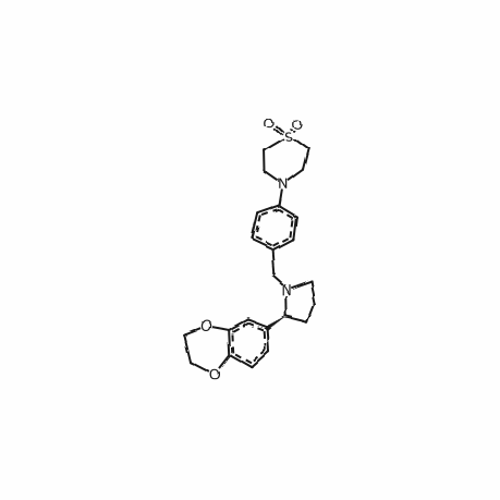 O=S1(=O)CCN(c2ccc(CN3CCC[C@H]3c3ccc4c(c3)OCCO4)cc2)CC1